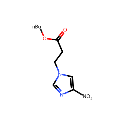 CCCCOC(=O)CCn1cnc([N+](=O)[O-])c1